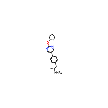 CC(=O)NC(C)Cc1ccc(-c2cnc(OC3CCCC3)nc2)cc1